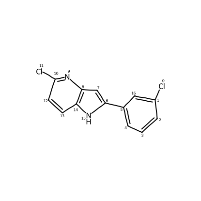 Clc1cccc(-c2cc3nc(Cl)ccc3[nH]2)c1